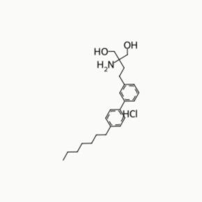 CCCCCCCc1ccc(-c2cccc(CCC(N)(CO)CO)c2)cc1.Cl